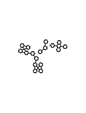 c1ccc(-c2c3ccccc3c(-c3ccc(-n4c5ccccc5c5cc(-c6ccc(-n7c8ccc(-c9ccc%10c(c9)C9(c%11ccccc%11-c%11ccccc%119)c9ccccc9-%10)cc8c8cc(-c9ccc%10c(c9)C9(c%11ccccc%11-c%11ccccc%119)c9ccccc9-%10)ccc87)cc6)ccc54)cc3)c3ccccc23)cc1